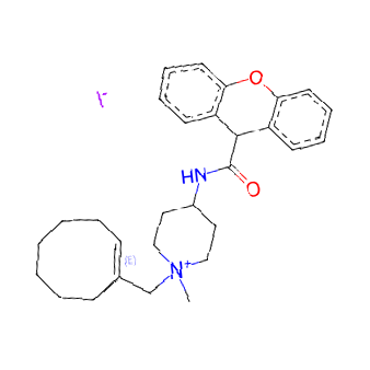 C[N+]1(C/C2=C/CCCCCC2)CCC(NC(=O)C2c3ccccc3Oc3ccccc32)CC1.[I-]